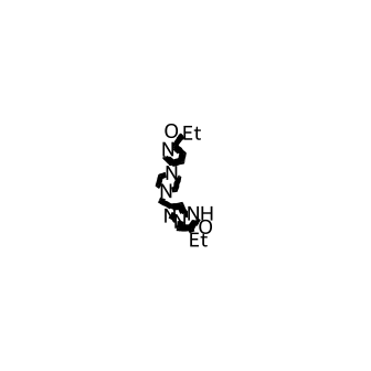 CCC(=O)c1ccc(N2CCN(Cc3cc4[nH]c(=O)c(CC)cn4n3)CC2)cn1